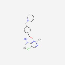 CC(C)CN(NC(=O)c1ccc(CN2CCCCC2)cc1)c1nc(C#N)ncc1Cl